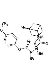 CC(C)n1nc(N[C@@H]2C3C[C@H]2CN(C(=O)OC(C)(C)C)C3)nc1Oc1ccc(OC(F)(F)F)cc1